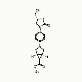 CC(C)(C)OC(=O)C1[C@H]2CN(c3ccc(N4C[C@H](CO)OC4=O)cc3)C[C@@H]12